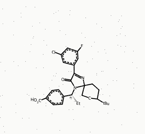 CC[C@H](c1ccc(C(=O)O)cc1)N1C(=O)C(c2cc(F)cc(Cl)c2)=NC12CCC(C(C)(C)C)CC2